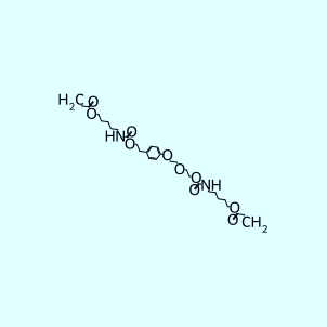 C=CC(=O)OCCCCCNC(=O)OCCOCCOc1ccc(CCOC(=O)NCCCCCOC(=O)C=C)cc1